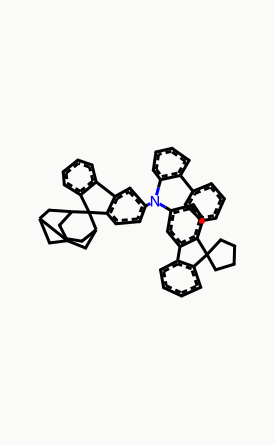 c1ccc(-c2ccccc2N(c2ccc3c(c2)-c2ccccc2C32CCCC2)c2ccc3c(c2)-c2ccccc2C32C3CCC4CC(C3)CC2C4)cc1